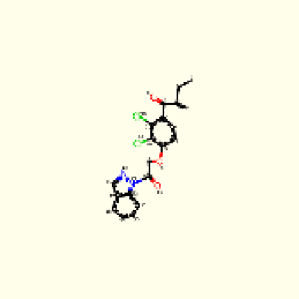 C=C(CC)C(=O)c1ccc(OCC(=O)n2ncc3ccccc32)c(Cl)c1Cl